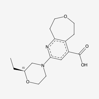 CC[C@H]1CN(c2cc(C(=O)O)c3c(n2)CCOCC3)CCO1